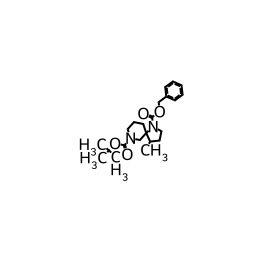 CC1CCN(C(=O)OCc2ccccc2)C12CCCN(C(=O)OC(C)(C)C)C2